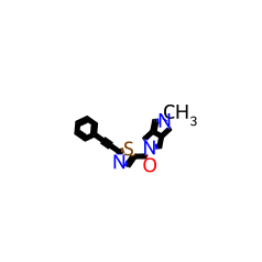 CN1C=C2CN(C(=O)c3cnc(C#Cc4ccccc4)s3)CC2C1